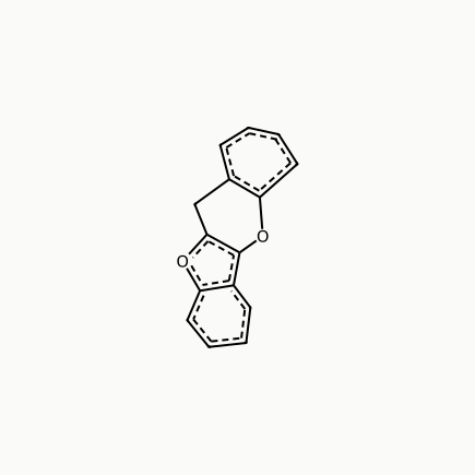 c1ccc2c(c1)Cc1oc3ccccc3c1O2